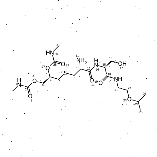 CNC(=O)OC[C@H](CSC[C@H](N)C(=O)N[C@@H](CO)C(=O)NCCOC(C)C)OC(=O)NC